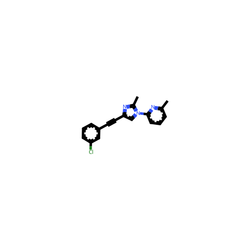 Cc1cccc(-n2cc(C#Cc3cccc(Cl)c3)nc2C)n1